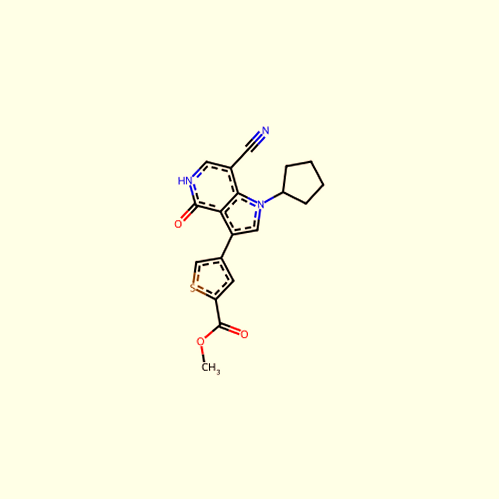 COC(=O)c1cc(-c2cn(C3CCCC3)c3c(C#N)c[nH]c(=O)c23)cs1